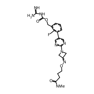 CNC(=O)CCCON=C1CN(c2ncc(-c3cccc(COC(=O)NC(=N)N)c3F)cn2)C1